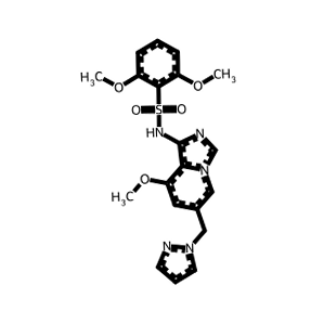 COc1cccc(OC)c1S(=O)(=O)Nc1ncn2cc(Cn3cccn3)cc(OC)c12